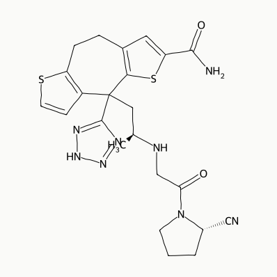 C[C@@H](CC1(c2nn[nH]n2)c2ccsc2CCc2cc(C(N)=O)sc21)NCC(=O)N1CCC[C@H]1C#N